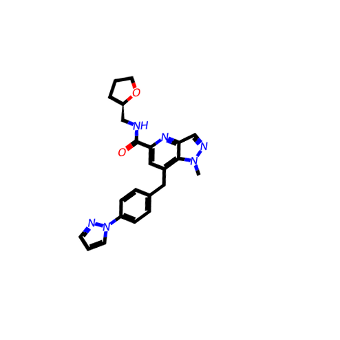 Cn1ncc2nc(C(=O)NC[C@H]3CCCO3)cc(Cc3ccc(-n4cccn4)cc3)c21